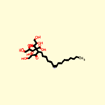 CCCCCCCC/C=C\CCCCCC(C(=O)C(O)CO)C(C(=O)O)(C(=O)C(O)CO)C(=O)C(O)CO